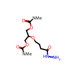 CNC(=O)OCC(COC(=O)NC)OCCCC(=O)NN